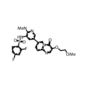 CNc1ncc(-c2ccc3ncc(OCCOC)c(=O)n3c2)cc1NS(=O)(=O)c1ccc(F)cc1F